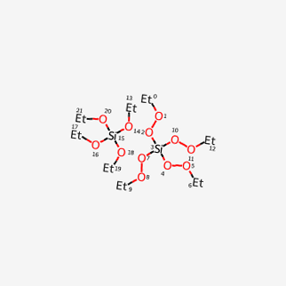 CCOO[Si](OOCC)(OOCC)OOCC.CCO[Si](OCC)(OCC)OCC